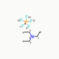 CCN(CC)CC.FP(F)(F)(F)F